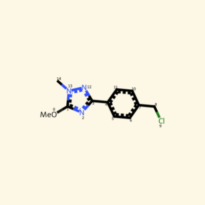 COc1nc(-c2ccc(CCl)cc2)nn1C